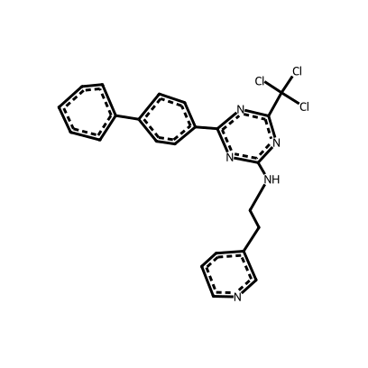 ClC(Cl)(Cl)c1nc(NCCc2cccnc2)nc(-c2ccc(-c3ccccc3)cc2)n1